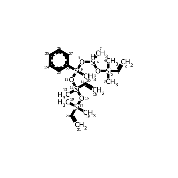 C=C[Si](C)(C)O[SiH](C)O[Si](C)(O[Si](C)(C=C)O[Si](C)(C)C=C)c1ccccc1